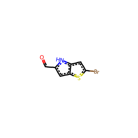 O=Cc1cc2sc(Br)cc2[nH]1